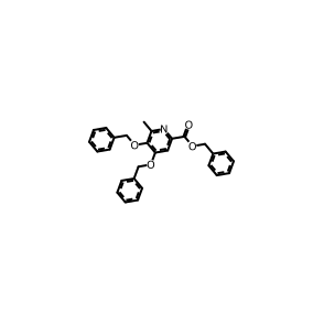 Cc1nc(C(=O)OCc2ccccc2)cc(OCc2ccccc2)c1OCc1ccccc1